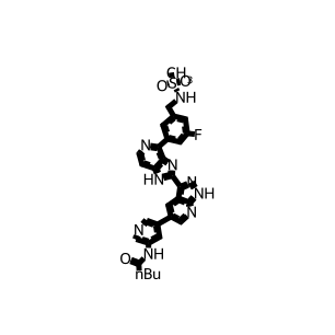 CCCCC(=O)Nc1cncc(-c2cnc3[nH]nc(-c4nc5c(-c6cc(F)cc(CNS(C)(=O)=O)c6)nccc5[nH]4)c3c2)c1